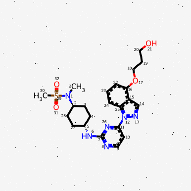 CN([C@H]1CC[C@H](Nc2nccc(-n3ncc4c(OCCCO)cccc43)n2)CC1)S(C)(=O)=O